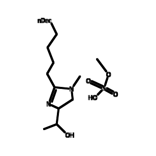 CCCCCCCCCCCCCCC1=NC(C(C)O)CN1C.COS(=O)(=O)O